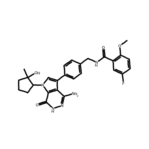 COc1ccc(F)cc1C(=O)NCc1ccc(-c2cn(C3CCCC3(C)O)c3c(=O)[nH]nc(N)c23)cc1